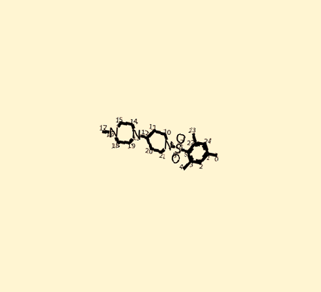 Cc1cc(C)c(S(=O)(=O)N2CCC(N3CCN(C)CC3)CC2)c(C)c1